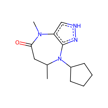 CC1CC(=O)N(C)c2c[nH]nc2N1C1CCCC1